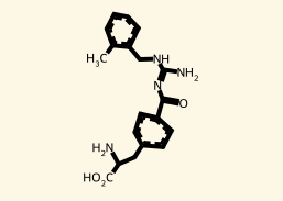 Cc1ccccc1CNC(N)=NC(=O)c1ccc(CC(N)C(=O)O)cc1